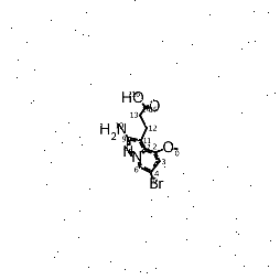 COc1cc(Br)cn2nc(N)c(CCC(=O)O)c12